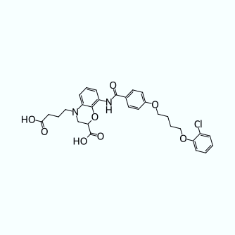 O=C(O)CCCN1CC(C(=O)O)Oc2c(NC(=O)c3ccc(OCCCCOc4ccccc4Cl)cc3)cccc21